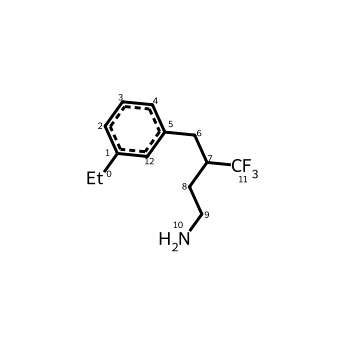 CCc1cccc(CC(CCN)C(F)(F)F)c1